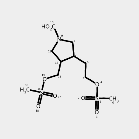 CS(=O)(=O)OCCC1CN(C(=O)O)CC1COS(C)(=O)=O